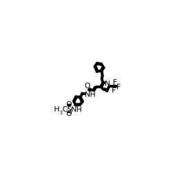 CS(=O)(=O)Nc1ccc(CNC(=O)C=Cc2ccc(C(F)(F)F)nc2CCc2ccccc2)cc1